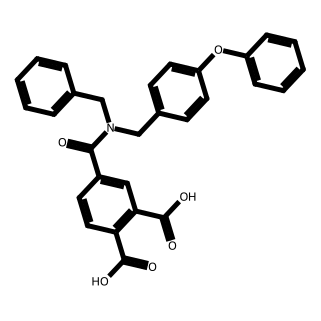 O=C(O)c1ccc(C(=O)N(Cc2ccccc2)Cc2ccc(Oc3ccccc3)cc2)cc1C(=O)O